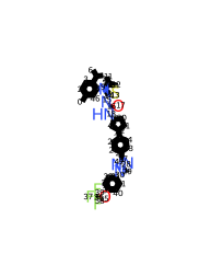 Cc1ccc(C(C)C)c(-n2c(C)cs/c2=N\C(=O)NC2CCC(c3ccc(-c4ncn(-c5ccc(OC(F)(F)F)cc5)n4)cc3)C2)c1